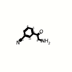 N#Cc1cccc(C(=O)CN)c1